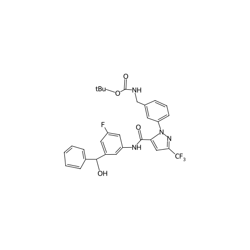 CC(C)(C)OC(=O)NCc1cccc(-n2nc(C(F)(F)F)cc2C(=O)Nc2cc(F)cc(C(O)c3ccccc3)c2)c1